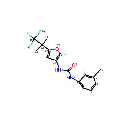 Cc1cccc(NC(=O)Nc2cc(C(C)(C)C(F)(F)F)on2)c1